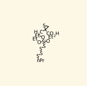 CC1(C(=O)O)CS1.CCCSSSS[Si](OCC)(OCC)OCC